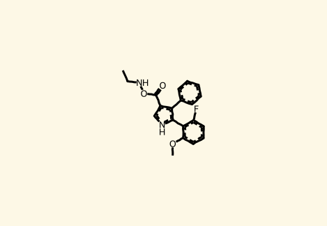 CCNOC(=O)c1c[nH]c(-c2c(F)cccc2OC)c1-c1ccccc1